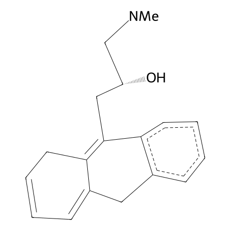 CNC[C@H](O)CC1=C2CC=CC=C2Cc2ccccc21